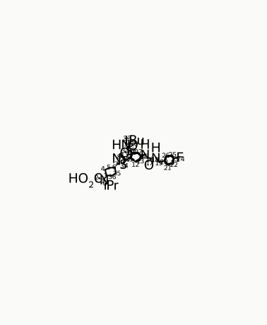 CC(C)N(C(=O)O)[C@H]1CC[C@H](c2ncc(-c3ccc(NC(=O)NCc4ccc(F)cc4)cc3S(=O)(=O)NC(C)(C)C)s2)CC1